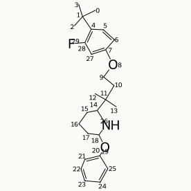 CC(C)(C)c1ccc(OCCC(C)(C)C2CCCC(Oc3ccccc3)N2)cc1F